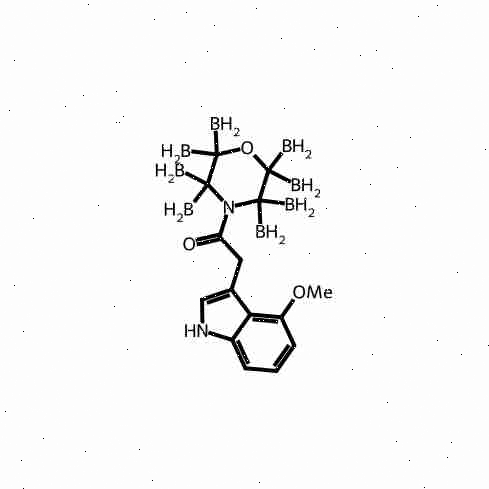 BC1(B)OC(B)(B)C(B)(B)N(C(=O)Cc2c[nH]c3cccc(OC)c23)C1(B)B